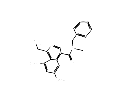 COc1cc(OC)c2c(CN)ncc(C(=O)N(C)Cc3ccccc3)c2c1